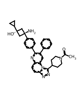 CC(=O)N1CCC(c2nnc3ccc4nc(-c5ccc([C@]6(N)C[C@@](O)(C7CC7)C6)cc5)c(-c5ccccc5)cc4n23)CC1